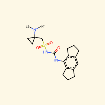 CCN(C(C)C)C1(CS(=O)(=O)NC(=O)Nc2c3c(cc4c2CCC4)CCC3)CC1